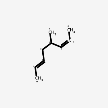 C/C=C/CC(C)/C=N\C